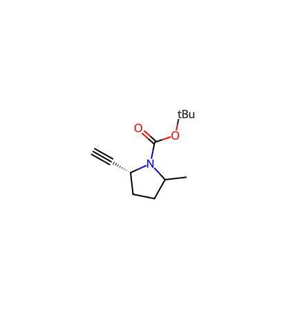 C#C[C@H]1CCC(C)N1C(=O)OC(C)(C)C